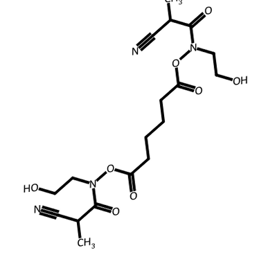 CC(C#N)C(=O)N(CCO)OC(=O)CCCCC(=O)ON(CCO)C(=O)C(C)C#N